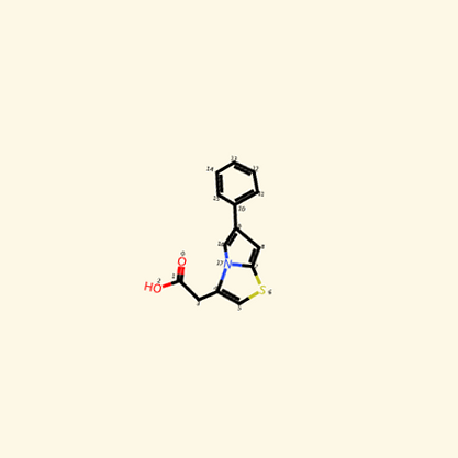 O=C(O)Cc1csc2cc(-c3ccccc3)cn12